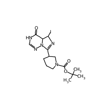 CC(C)(C)OC(=O)N1CCCC(C2=NC(I)C3C(=O)NC=NN23)C1